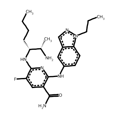 CCCC[C@@H](Nc1nc(Nc2ccc3c(cnn3CCC)c2)c(C(N)=O)cc1F)[C@H](C)N